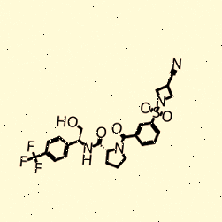 N#CC1CN(S(=O)(=O)c2cccc(C(=O)N3CCC[C@@H]3C(=O)N[C@H](CO)c3ccc(C(F)(F)F)cc3)c2)C1